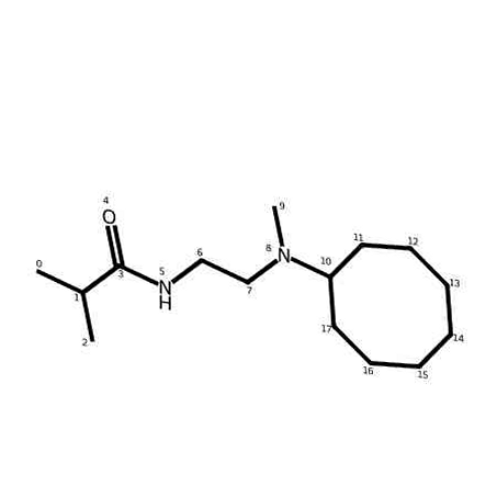 CC(C)C(=O)NCCN(C)C1CCCCCCC1